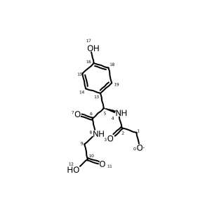 [O]CC(=O)N[C@@H](C(=O)NCC(=O)O)c1ccc(O)cc1